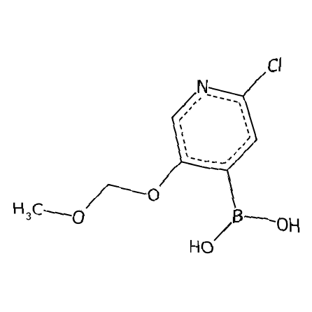 COCOc1cnc(Cl)cc1B(O)O